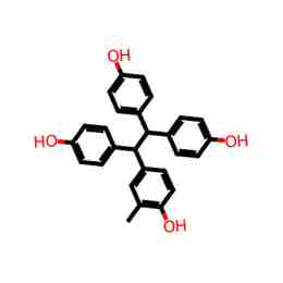 Cc1cc(C(c2ccc(O)cc2)C(c2ccc(O)cc2)c2ccc(O)cc2)ccc1O